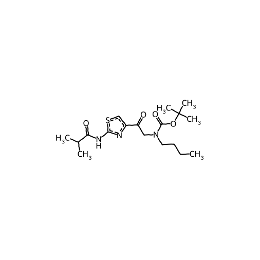 CCCCN(CC(=O)c1csc(NC(=O)C(C)C)n1)C(=O)OC(C)(C)C